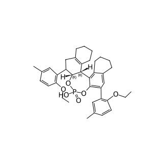 CCOc1ccc(C)cc1-c1cc2c(c3c1OP(=O)(O)O[C@@H]1C(c4cc(C)ccc4OCC)CC4=C(CCCC4)[C@H]31)CCCC2